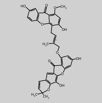 COc1cc(O)c(C/C=C(\C)COc2cc(O)cc3oc4c(O)c5c(cc4c(=O)c23)C=CC(C)(C)O5)c2oc3ccc(O)cc3c(=O)c12